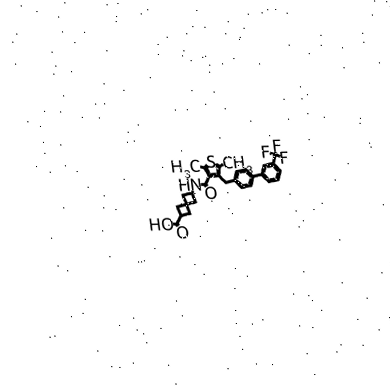 Cc1sc(C)c(C(=O)NC2CC3(C2)CC(C(=O)O)C3)c1Cc1ccc(-c2cccc(C(F)(F)F)c2)cc1